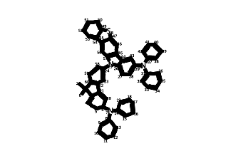 CC1(C)C2=CCC(N(c3ccccc3)c3ccccc3)C=C2c2cc(-n3c4ccc(N(c5ccccc5)c5ccccc5)cc4c4cc5sc6ccccc6c5cc43)ccc21